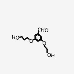 O=Cc1cc(OCCCO)cc(OCCCO)c1